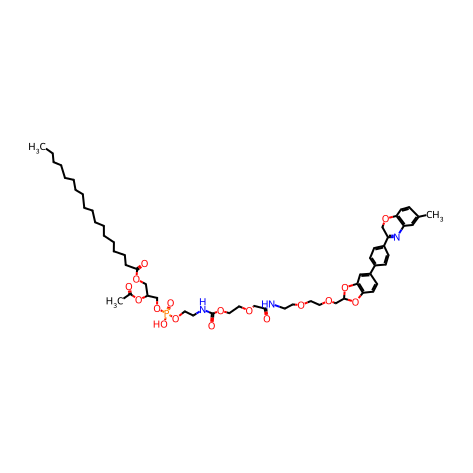 CCCCCCCCCCCCCCCCCC(=O)OCC(COP(=O)(O)OCCNC(=O)OCCOCC(=O)NCCOCCOCC1Oc2ccc(-c3ccc(C4=Nc5cc(C)ccc5OC4)cc3)cc2O1)OC(C)=O